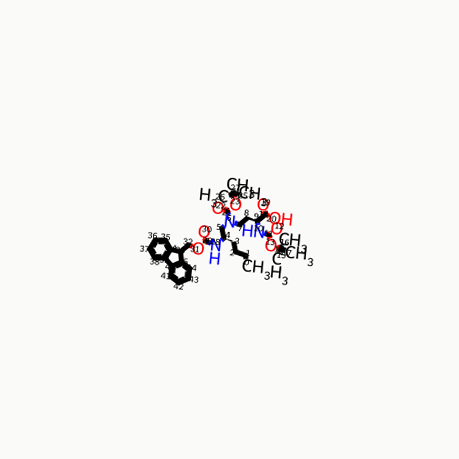 CCCC[C@@H](CN(CC[C@H](NC(=O)OC(C)(C)C)C(=O)O)C(=O)OC(C)(C)C)NC(=O)OCC1c2ccccc2-c2ccccc21